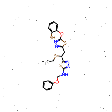 CCSC(Cc1nnc(Oc2ccccc2S)s1)c1nnc(NCOc2ccccc2)s1